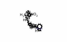 C=C1CCCC/C=C2/CCC/C2=C/1NC(=O)NS(=O)(=O)c1ccc(CCNC(=O)CN(C)c2ccc([N+](=O)[O-])c3nonc23)cc1